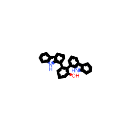 Oc1cccc(-c2cccc3c2[nH]c2ccccc23)c1-c1cccc2c1[nH]c1ccccc12